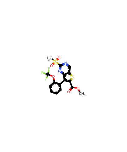 COC(=O)c1sc2cnc(S(C)(=O)=O)nc2c1-c1ccccc1OC(F)(F)F